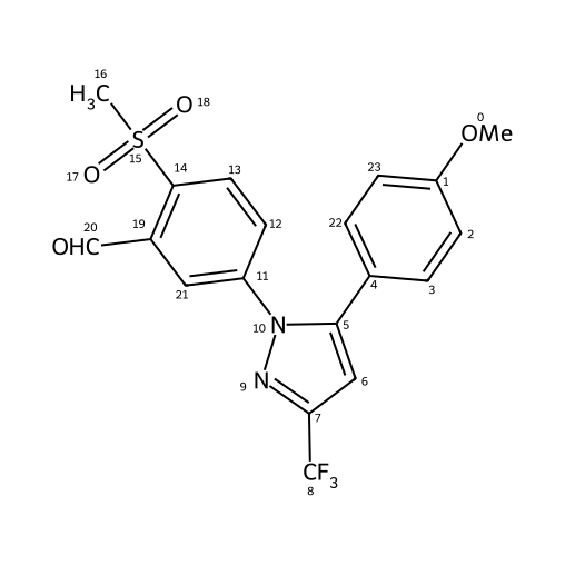 COc1ccc(-c2cc(C(F)(F)F)nn2-c2ccc(S(C)(=O)=O)c(C=O)c2)cc1